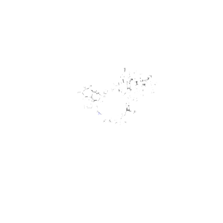 C=C[C@@H]1C[C@]1(NC(=O)C1CC2CN1C(=O)C(C1CCCC1)NC(=O)OC1(C)CC1CC/C=C/Cc1c(nc3ccccc3c1O)O2)C(=O)NS(=O)(=O)C1CC1